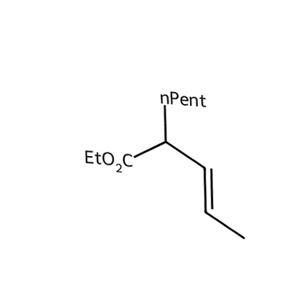 CC=CC(CCCCC)C(=O)OCC